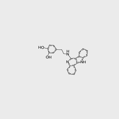 Oc1ccc(CCNc2nc3ccccc3c3[nH]c4ccccc4c23)cc1O